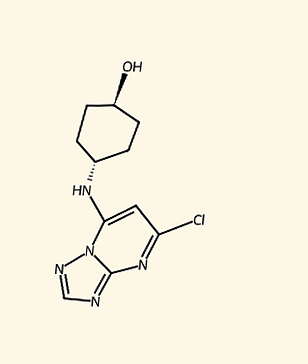 O[C@H]1CC[C@H](Nc2cc(Cl)nc3ncnn23)CC1